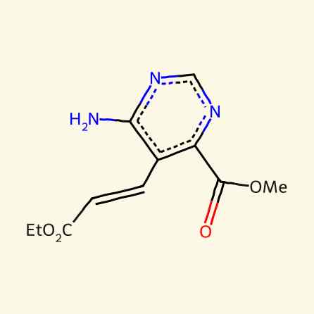 CCOC(=O)/C=C/c1c(N)ncnc1C(=O)OC